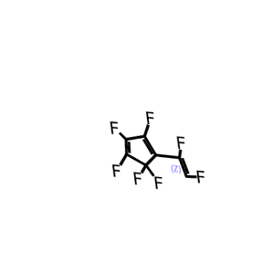 F/C=C(\F)C1=C(F)C(F)=C(F)C1(F)F